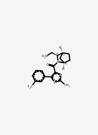 Cc1nc(C(=O)N2[C@@H]3CC[C@@H](C3)[C@@H]2CN)c(-c2cccc(C(F)(F)F)c2)s1